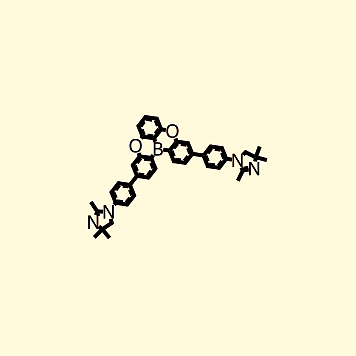 CC1=NC(C)(C)CN1c1ccc(-c2ccc3c(c2)Oc2cccc4c2B3c2ccc(-c3ccc(N5CC(C)(C)N=C5C)cc3)cc2O4)cc1